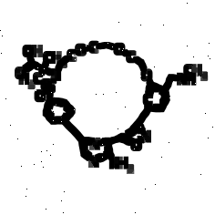 CNCc1ccc2cc1OCCOCCOCCN(C(C)(C)C(=O)O)S(=O)(=O)c1ccc(cc1)-c1cnc(N)c(n1)-c1cc-2no1